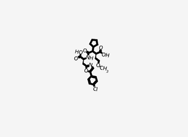 COCC[C@H](C(=O)O)C(C(=O)N[C@@H](Cc1ncc(-c2ccc(Cl)cc2)o1)C(=O)O)C1CCCC1